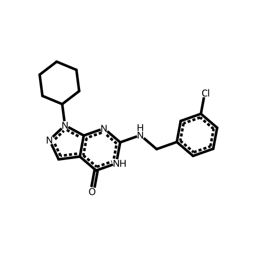 O=c1[nH]c(NCc2cccc(Cl)c2)nc2c1cnn2C1CCCCC1